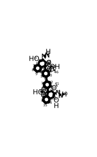 [H]/N=N/C1=C(O)c2ccccc2C(c2ccc(-c3ccc(C4(S(=O)(=O)O)CC(/N=N/[H])=C(O)c5ccccc54)c(OC)c3)cc2OC)(S(=O)(=O)O)C1